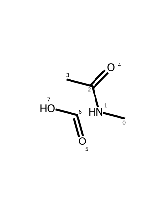 CNC(C)=O.O=CO